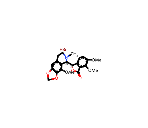 Br.COc1ccc2c(c1OC)C(=O)O[C@@H]2[C@H]1c2c(cc3c(c2OC)OCO3)CCN1C